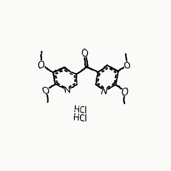 COc1cc(C(=O)c2cnc(OC)c(OC)c2)cnc1OC.Cl.Cl